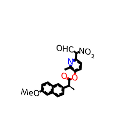 COc1ccc2cc([C@H](C)C(=O)Oc3ccc(C(C=O)[N+](=O)[O-])nc3C)ccc2c1